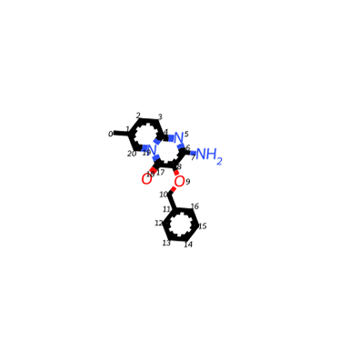 Cc1ccc2nc(N)c(OCc3ccccc3)c(=O)n2c1